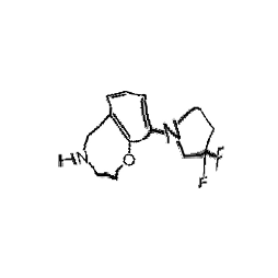 FC1(F)CCN(c2cccc3c2OCCNC3)C1